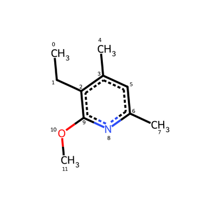 CCc1c(C)cc(C)nc1OC